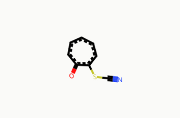 N#CSc1cccccc1=O